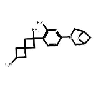 Cc1nc(N2CC3CC(C2)O3)ccc1C1(N)CC2(CC(N)C2)C1